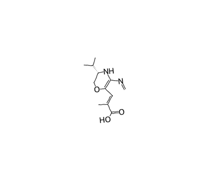 C=NC1=C(/C=C(\C)C(=O)O)OC[C@H](C(C)C)N1